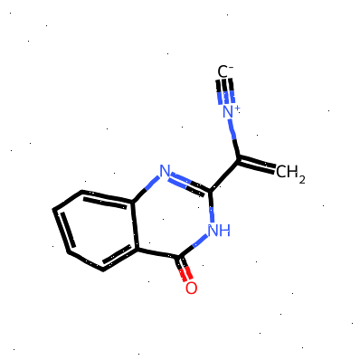 [C-]#[N+]C(=C)c1nc2ccccc2c(=O)[nH]1